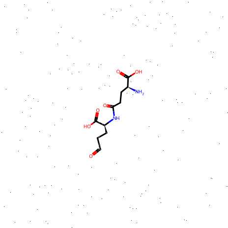 N[C@@H](CCC(=O)N[C@@H](CCC=O)C(=O)O)C(=O)O